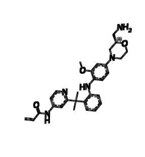 C=CC(=O)Nc1ccnc(C(C)(C)c2ccccc2Nc2ccc(N3CCO[C@H](CN)C3)cc2OC)c1